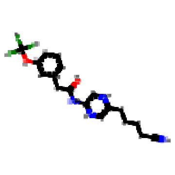 N#CCCCCc1cnc(NC(=O)Cc2cccc(OC(F)(F)F)c2)cn1